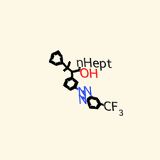 CCCCCCCC(O)C(c1cccc(-n2nc3ccc(C(F)(F)F)cc3n2)c1)C(C)(C)c1ccccc1